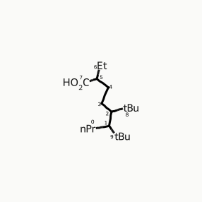 CCCC(C(CCC(CC)C(=O)O)C(C)(C)C)C(C)(C)C